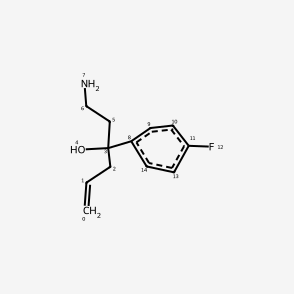 C=CCC(O)(CCN)c1ccc(F)cc1